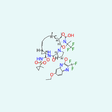 CCOc1ccc2nc(C(F)(F)F)c(O[C@@H]3C[C@H]4C(=O)N[C@]5(C(=O)NS(=O)(=O)C6(C)CC6)C[C@H]5C=CCC[C@@H](C)C[C@@H](CC)[C@H](N(C(=O)O)C(C)(C)C(F)(F)F)C(=O)N4C3)nc2c1